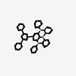 C1=CC2B3c4ccccc4N(c4ccccc4)c4cc(-c5cc(-c6ccccc6)cc(-c6ccccc6)c5)cc(c43)N(c3ccccc3)C2C=C1